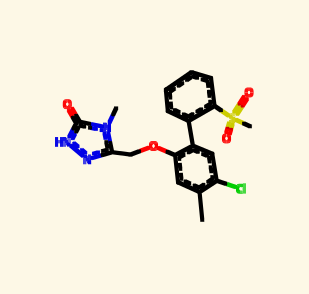 Cc1cc(OCc2n[nH]c(=O)n2C)c(-c2ccccc2S(C)(=O)=O)cc1Cl